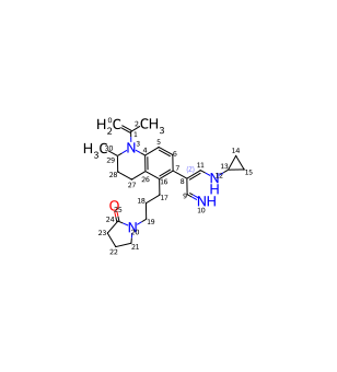 C=C(C)N1c2ccc(/C(C=N)=C/NC3CC3)c(CCCN3CCCC3=O)c2CCC1C